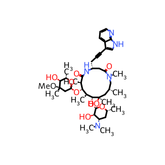 CO[C@]1(C)C[C@H](O[C@H]2[C@H](C)[C@@H](O[C@@H]3O[C@H](C)C[C@H](N(C)C)[C@H]3O)[C@](C)(O)C[C@@H](C)CN(C)C(=O)C[C@@H](CC#Cc3c[nH]c4ncccc34)NC(=O)[C@@H]2C)O[C@@H](C)[C@@H]1O